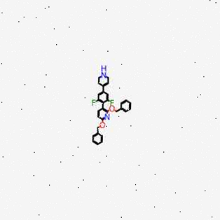 Fc1cc(C2=CCNCC2)cc(F)c1-c1ccc(OCc2ccccc2)nc1OCc1ccccc1